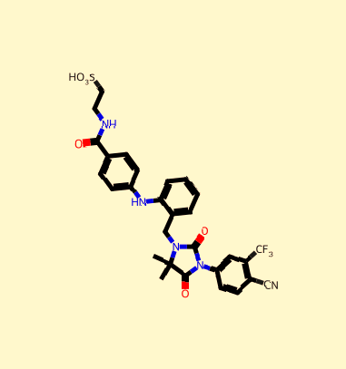 CC1(C)C(=O)N(c2ccc(C#N)c(C(F)(F)F)c2)C(=O)N1Cc1ccccc1Nc1ccc(C(=O)NCCS(=O)(=O)O)cc1